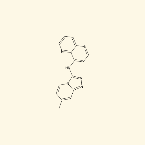 Cc1ccn2c(Nc3ccnc4cccnc34)nnc2c1